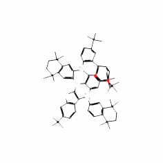 CC(C)(C)c1ccc(-c2cc(C(C)(C)C)ccc2N2c3cc4c(cc3B3c5sc6cc(C(C)(C)C)ccc6c5N(c5ccc6c(c5)C(C)(C)CCC6(C)C)c5cc(C(C)(C)C)cc2c53)C(C)(C)CCC4(C)C)cc1